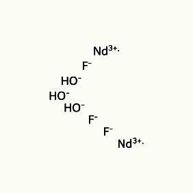 [F-].[F-].[F-].[Nd+3].[Nd+3].[OH-].[OH-].[OH-]